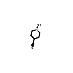 N#CC1CCN(N)CC1